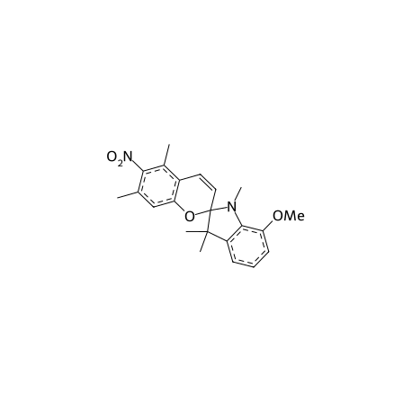 COc1cccc2c1N(C)C1(C=Cc3c(cc(C)c([N+](=O)[O-])c3C)O1)C2(C)C